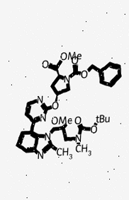 COC(=O)[C@@H]1C[C@H](Oc2nccc(-c3cccc4nc(C)n(CC(CN(C)C(=O)OC(C)(C)C)OC)c34)n2)CN1C(=O)OCc1ccccc1